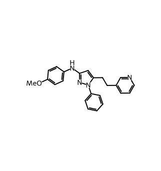 COc1ccc(Nc2cc(CCc3cccnc3)n(-c3ccccc3)n2)cc1